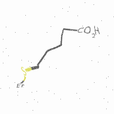 CCSCCCCC(=O)O